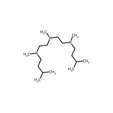 CC(C)CCN(C)CCN(C)CCN(C)CCC(C)C